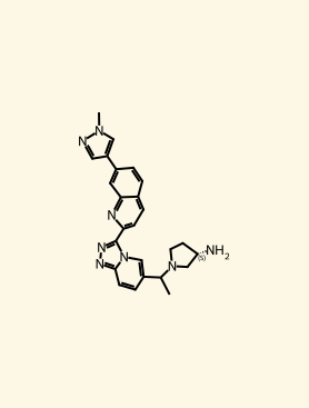 CC(c1ccc2nnc(-c3ccc4ccc(-c5cnn(C)c5)cc4n3)n2c1)N1CC[C@H](N)C1